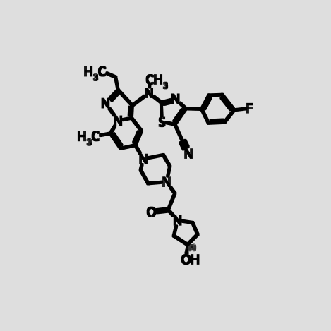 CCc1nn2c(C)cc(N3CCN(CC(=O)N4CC[C@@H](O)C4)CC3)cc2c1N(C)c1nc(-c2ccc(F)cc2)c(C#N)s1